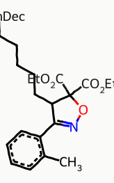 CCCCCCCCCCCCCCCC1C(c2ccccc2C)=NOC1(C(=O)OCC)C(=O)OCC